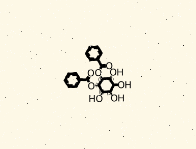 O=C(O[C@@H]1[C@@H](OC(=O)c2ccccc2)[C@H](O)[C@@H](O)C(O)[C@H]1O)c1ccccc1